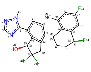 Cn1ncnc1-c1ccc([C@H]2CC[C@H](F)c3cc(F)cc(C#N)c32)c2c1[C@H](O)C(F)(F)C2